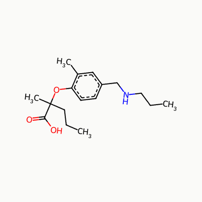 CCCNCc1ccc(OC(C)(CCC)C(=O)O)c(C)c1